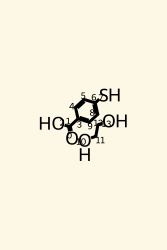 O=C(O)c1ccc(S)cc1.OCCO